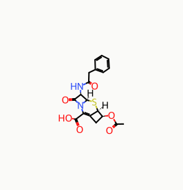 CC(=O)O[C@H]1CC2=C(C(=O)O)N3C(=O)[C@@H](NC(=O)Cc4ccccc4)[C@H]3S[C@H]21